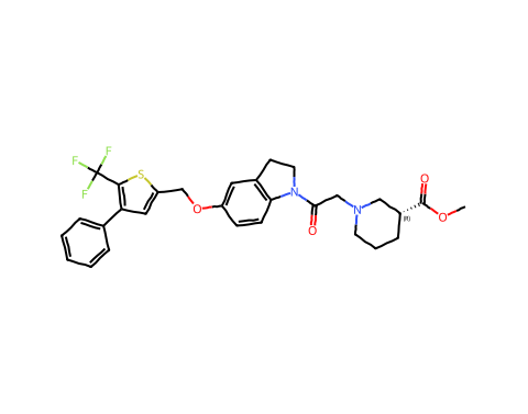 COC(=O)[C@@H]1CCCN(CC(=O)N2CCc3cc(OCc4cc(-c5ccccc5)c(C(F)(F)F)s4)ccc32)C1